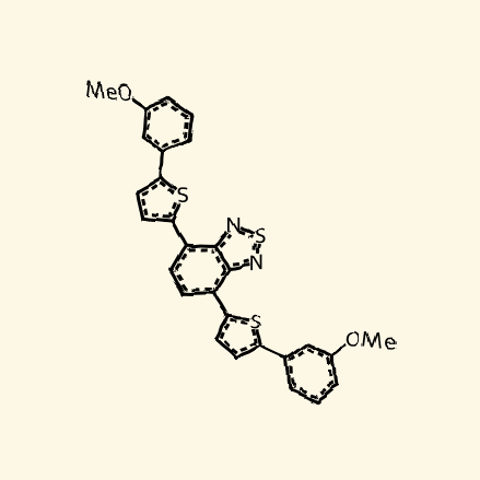 COc1cccc(-c2ccc(-c3ccc(-c4ccc(-c5cccc(OC)c5)s4)c4nsnc34)s2)c1